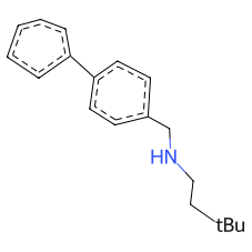 CC(C)(C)CCNCc1ccc(-c2ccccc2)cc1